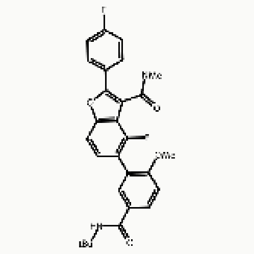 CNC(=O)c1c(-c2ccc(F)cc2)oc2ccc(-c3cc(C(=O)NC(C)(C)C)ccc3OC)c(F)c12